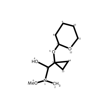 CON(C)C(O)C1(OC2CCCCO2)CC1